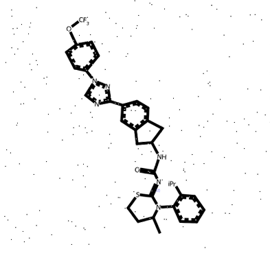 CC(C)c1ccccc1N1/C(=N/C(=O)NC2Cc3ccc(-c4ncn(-c5ccc(OC(F)(F)F)cc5)n4)cc3C2)SCCC1C